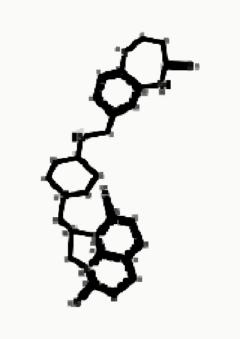 O=C1CCSc2ccc(CNC3CCN(C[C@@H]4Cn5c(=O)ccc6ccc(=O)n4c65)CC3)cc2N1